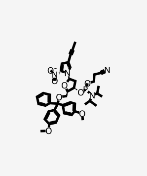 CC#Cc1cc([N+](=O)[O-])n([C@H]2C[C@H](OP(OCCC#N)N(C(C)C)C(C)C)[C@@H](COC(c3ccccc3)(c3ccc(OC)cc3)c3ccc(OC)cc3)O2)c1